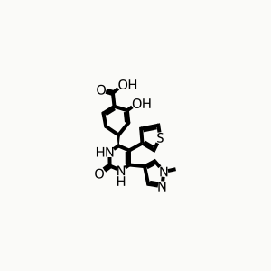 Cn1cc(C2=C(c3ccsc3)[C@H](C3C=C(O)C(C(=O)O)=CC3)NC(=O)N2)cn1